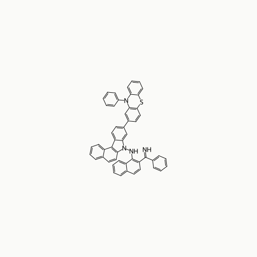 N=C(c1ccccc1)c1ccc2ccccc2c1Nn1c2cc(-c3ccc4c(c3)N(c3ccccc3)c3ccccc3S4)ccc2c2c3ccccc3ccc21